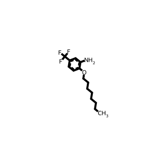 CCCCCCCCOc1ccc(C(F)(F)F)cc1N